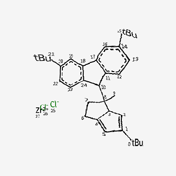 CC(C)(C)C1=CC2C(=C1)CCC2(C)C1c2ccc(C(C)(C)C)cc2-c2cc(C(C)(C)C)ccc21.[Cl-].[Cl-].[Zr+2]